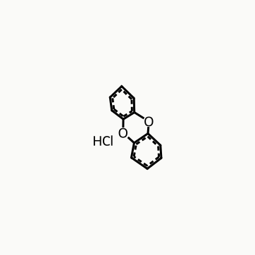 Cl.c1ccc2c(c1)Oc1ccccc1O2